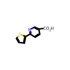 O=C(O)c1ccc(-c2cccs2)nc1